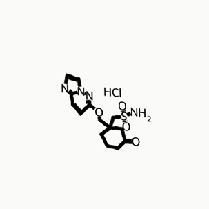 Cl.NS(=O)(=O)CC1(COc2ccc3nccn3n2)CCCC(=O)C1